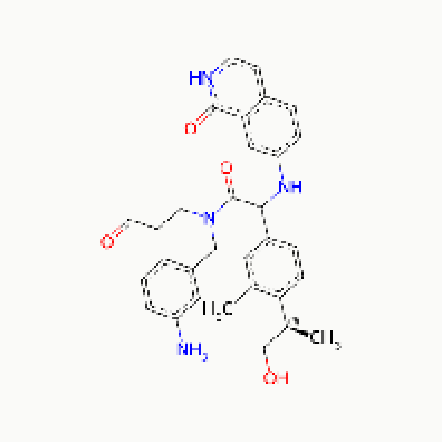 Cc1cc(C(Nc2ccc3cc[nH]c(=O)c3c2)C(=O)N(CCC=O)Cc2cccc(N)c2)ccc1[C@@H](C)CO